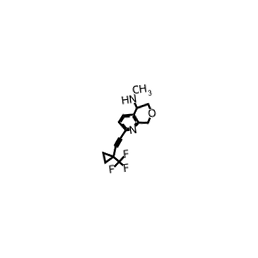 CNC1COCc2nc(C#CC3(C(F)(F)F)CC3)ccc21